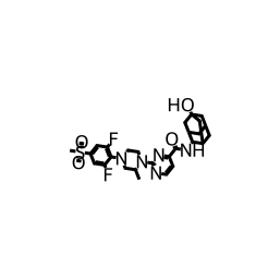 CC1CN(c2c(F)cc(S(C)(=O)=O)cc2F)CCN1c1nccc(C(=O)NC2C3CC4CC2CC(O)(C4)C3)n1